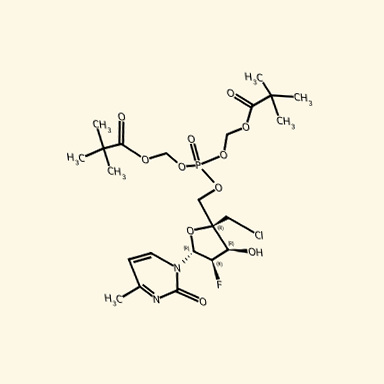 Cc1ccn([C@@H]2O[C@](CCl)(COP(=O)(OCOC(=O)C(C)(C)C)OCOC(=O)C(C)(C)C)[C@@H](O)[C@H]2F)c(=O)n1